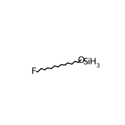 FCCCCCCCCCCCCCO[SiH3]